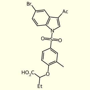 CCC(Oc1ccc(S(=O)(=O)n2cc(C(C)=O)c3cc(Br)ccc32)cc1C)C(=O)O